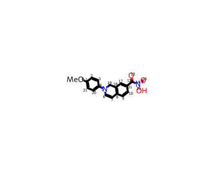 COc1ccc(N2C=Cc3ccc(C(=O)[N+](=O)O)cc3C2)cc1